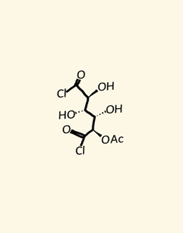 CC(=O)O[C@@H](C(=O)Cl)[C@@H](O)[C@H](O)[C@H](O)C(=O)Cl